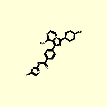 CCc1cnc(NC(=O)c2ccc(-c3nc(C4CCC(O)CC4)n4ccnc(N)c34)cc2)s1